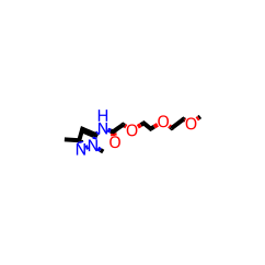 COCCOCCOCC(=O)Nc1cc(C)nn1C